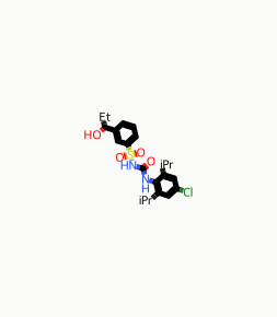 CCC(O)c1cccc(S(=O)(=O)NC(=O)Nc2c(C(C)C)cc(Cl)cc2C(C)C)c1